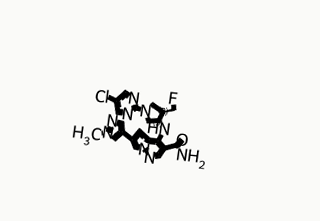 Cn1cc(-c2cc3c(N[C@@H]4CN(c5ncc(Cl)cn5)C[C@H]4CF)c(C(N)=O)cnn3c2)cn1